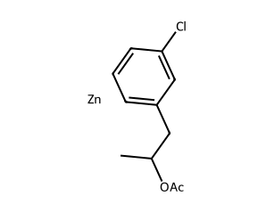 CC(=O)OC(C)Cc1cccc(Cl)c1.[Zn]